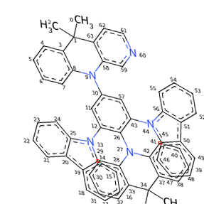 CC1(C)c2ccccc2N(c2cc(-n3c4ccccc4c4ccccc43)c(N3c4ccccc4C(C)(C)c4ccccc43)c(-n3c4ccccc4c4ccccc43)c2)c2cnccc21